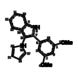 COc1cc(OC)cc(-c2[nH]c3ccccc3c2[SH]2C=CC=C2)c1